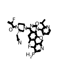 C=C(F)C(=O)N1CCN(c2nc(=O)n(-c3c(C)ccnc3C(C)C)c3c4c(c(C)cc23)-c2c(ncc(P)c2F)CO4)C[C@@H]1CC#N